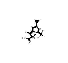 O=C(O)c1nn2c(C(F)(F)F)cc(C3CC3)cc2c1I